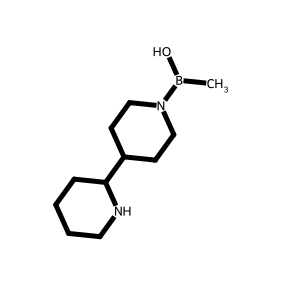 CB(O)N1CCC(C2CCCCN2)CC1